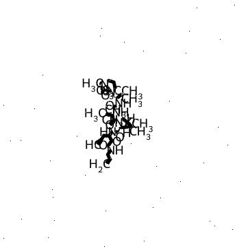 C#CCC(NC(=O)[C@@H]1[C@@H]2[C@H](CN1C(=O)[C@@H](NC(=O)N[C@H](CN1CCCN(C)S1(=O)=O)C(C)(C)C)C(C)(C)C)C2(C)C)C(=O)C(=O)NCC=C